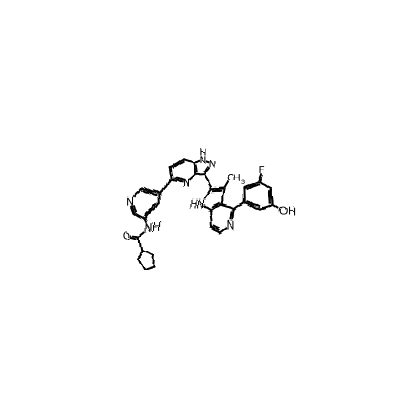 Cc1c(-c2n[nH]c3ccc(-c4cncc(NC(=O)C5CCCC5)c4)nc23)[nH]c2ccnc(-c3cc(O)cc(F)c3)c12